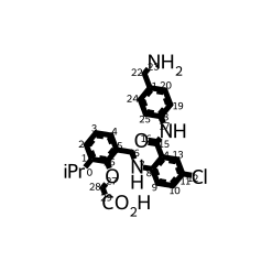 CC(C)c1cccc(CNc2ccc(Cl)cc2C(=O)Nc2ccc(CN)cc2)c1OCC(=O)O